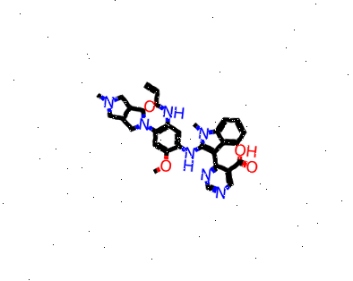 C=CC(=O)Nc1cc(Nc2c(-c3ncncc3C(=O)O)c3ccccc3n2C)c(OC)cc1N1CC2CN(C)CC2C1